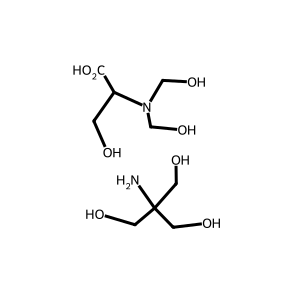 NC(CO)(CO)CO.O=C(O)C(CO)N(CO)CO